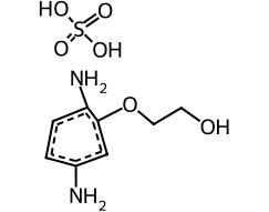 Nc1ccc(N)c(OCCO)c1.O=S(=O)(O)O